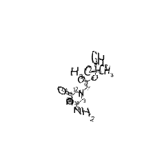 CC(C)(C)OC(=O)CN(CCN)C[SH](=O)=O